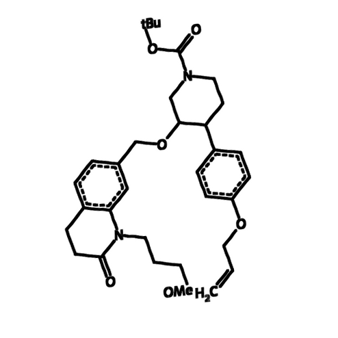 C=CCOc1ccc(C2CCN(C(=O)OC(C)(C)C)CC2OCc2ccc3c(c2)N(CCCOC)C(=O)CC3)cc1